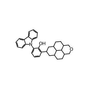 Oc1c(C2CC3CCC4COCC5CCC(C2)C3C45)cccc1-n1c2ccccc2c2ccccc21